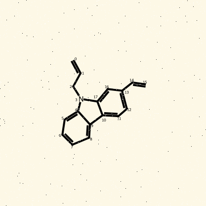 C=CCn1c2ccccc2c2ccc(C=C)cc21